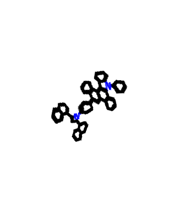 C1=C(c2cccc3ccccc23)N(c2ccc(-c3cc4c5ccccc5c5c(c6ccccc6n5-c5ccccc5)c4c4ccccc34)cc2)C1c1cccc2ccccc12